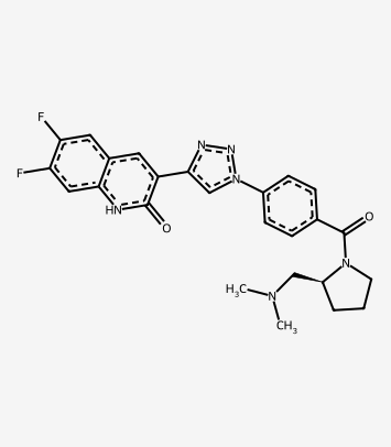 CN(C)C[C@@H]1CCCN1C(=O)c1ccc(-n2cc(-c3cc4cc(F)c(F)cc4[nH]c3=O)nn2)cc1